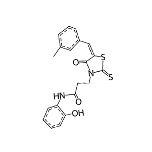 Cc1cccc(C=C2SC(=S)N(CCC(=O)Nc3ccccc3O)C2=O)c1